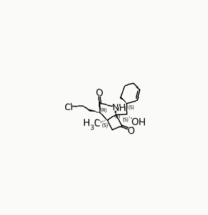 C[C@@]12CC(=O)[C@]1([C@@H](O)[C@@H]1C=CCCC1)NC(=O)[C@@H]2CCCl